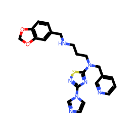 c1cncc(CN(CCCNCc2ccc3c(c2)OCO3)c2nc(-n3ccnc3)ns2)c1